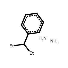 CCC(CC)c1ccccc1.N.N